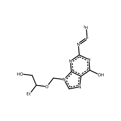 [3H]/P=N/c1nc(O)c2ncn(COC(CC)CO)c2n1